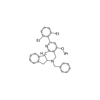 CCc1cccc(CC)c1-c1cc(OC(C)C)c(CN(Cc2ccccc2)C2Cc3ccccc3C2)c(C)n1